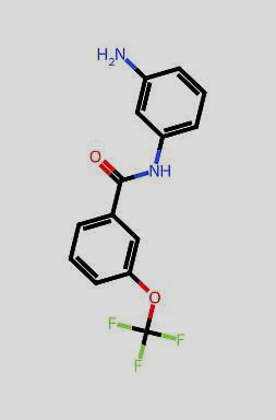 Nc1cccc(NC(=O)c2cccc(OC(F)(F)F)c2)c1